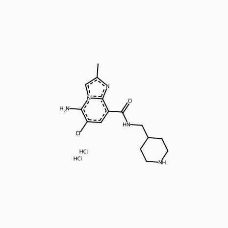 Cc1cn2c(N)c(Cl)cc(C(=O)NCC3CCNCC3)c2n1.Cl.Cl